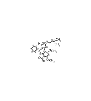 COc1cc(OC)c(C(=O)O)c(CC(=O)c2ccccc2)c1C/C=C(\C)CCC=C(C)C